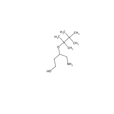 CC(C)(C)[Si](C)(C)OC(CN)CCO